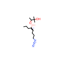 CCC/C(BOC(C)C(C)(C)O)=C\CCCN=[N+]=[N-]